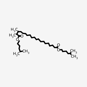 CC(C)CCCCOC(=O)CCCCCCCCCCCCCCCCC(C)C(C)C(=O)OCCCCC(C)C